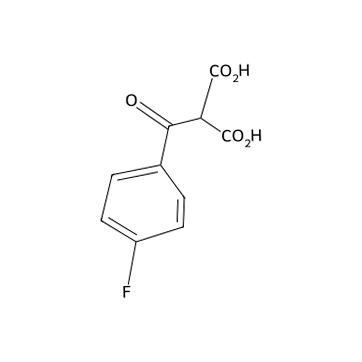 O=C(O)C(C(=O)O)C(=O)c1ccc(F)cc1